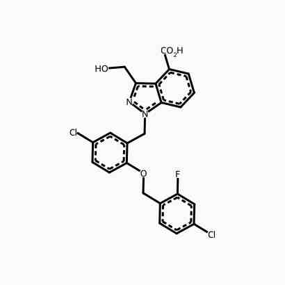 O=C(O)c1cccc2c1c(CO)nn2Cc1cc(Cl)ccc1OCc1ccc(Cl)cc1F